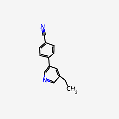 CCc1cncc(-c2ccc(C#N)cc2)c1